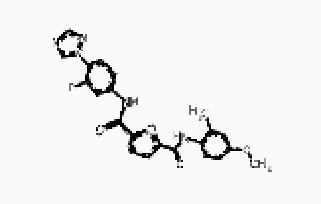 COc1ccc(NC(=O)c2ccc(C(=O)Nc3ccc(-n4cncn4)c(F)c3)o2)c(C)c1